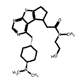 CN(CCO)C(=O)CC1CCc2sc3ncnc(C[C@H]4CC[C@H](N(C)C)CC4)c3c21